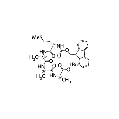 CSCC[C@H](NC(=O)OCC1c2ccccc2-c2ccccc21)C(=O)N[C@@H](C)C(=O)N[C@@H](C)C(=O)N[C@@H](C)C(=O)OC(C)(C)C